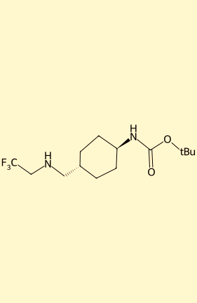 CC(C)(C)OC(=O)N[C@H]1CC[C@H](CNCC(F)(F)F)CC1